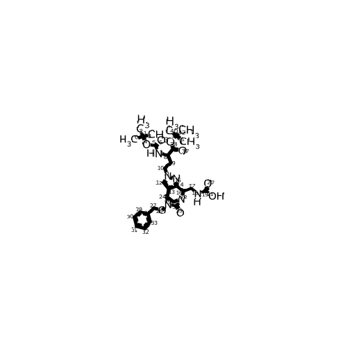 CC(C)(C)OC(=O)NC(CCn1cc2c(n1)C(CNC(=O)O)N1CC2N(OCc2ccccc2)C1=O)C(=O)OC(C)(C)C